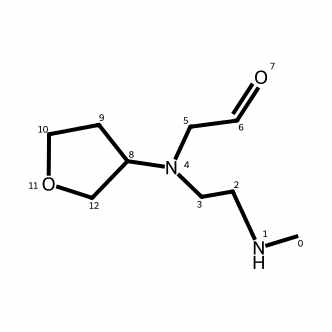 CNCCN(CC=O)C1CCOC1